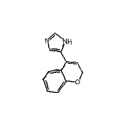 C1=C(c2cnc[nH]2)c2ccccc2OC1